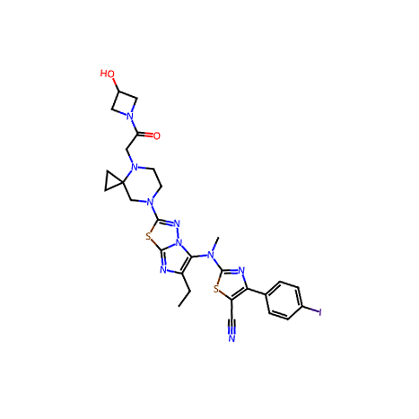 CCc1nc2sc(N3CCN(CC(=O)N4CC(O)C4)C4(CC4)C3)nn2c1N(C)c1nc(-c2ccc(I)cc2)c(C#N)s1